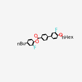 CCCCCCOc1ccc(-c2ccc(C(=O)Oc3ccc(CCCC)cc3F)cc2)cc1F